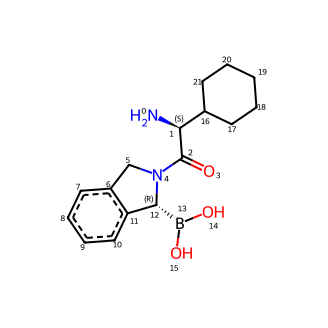 N[C@H](C(=O)N1Cc2ccccc2[C@H]1B(O)O)C1CCCCC1